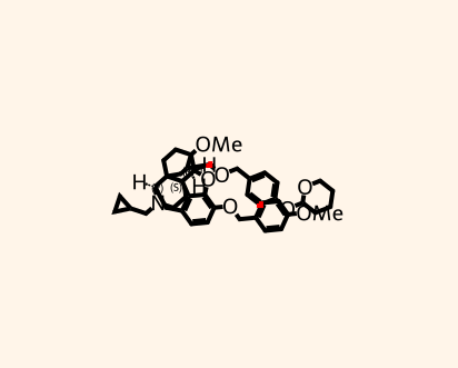 COc1ccc(COc2ccc3c4c2O[C@H]2C5(OC)CCC6(C[C@@H]5COCc5ccc(OC7CCCCO7)cc5)[C@@H](C3)N(CC3CC3)CC[C@]426)cc1